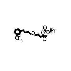 CC(C)OC(=O)OC1(CCCOCCCCc2cccc(C(F)(F)F)c2)CO1